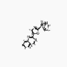 c1ccc2nc(-c3nnc(N4CCN5CCC4CC5)o3)ncc2c1